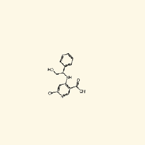 O=C(O)c1cnc(Cl)cc1NC(CO)c1ccccc1